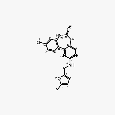 Cc1ccc(CNc2ncc3c(n2)-c2ccc(Cl)cc2NC(=O)C3)o1